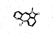 CCN1c2cccc3c2C(=Cc2cccnc21)N(C)C3=O